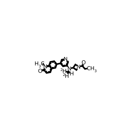 [2H]C([2H])([2H])N(c1cncc(-c2ccc3c(ccc(=O)n3C)c2)c1)C1CN(C(=O)CC)C1